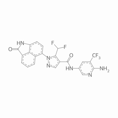 Nc1ncc(NC(=O)c2cnn(-c3ccc4c5c(cccc35)C(=O)N4)c2C(F)F)cc1C(F)(F)F